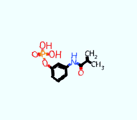 C=C(C)C(=O)Nc1cccc(OP(=O)(O)O)c1